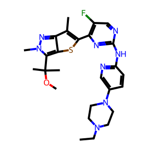 CCN1CCN(c2ccc(Nc3ncc(F)c(-c4sc5c(C(C)(C)OC)n(C)nc5c4C)n3)nc2)CC1